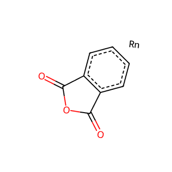 O=C1OC(=O)c2ccccc21.[Rn]